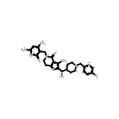 CC[C@@H](c1sc2c(c1C)C(=O)N(Cc1c(C)cc(C)[nH]c1=O)CC2)C1CCN(Cc2ccc(Cl)cn2)CC1